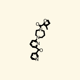 Cc1ccoc1C(=O)N1CCCN(c2cccc(C(=O)c3cccnc3)n2)CC1